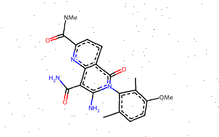 CNC(=O)c1ccc2c(=O)n(-c3c(C)ccc(OC)c3C)c(N)c(C(N)=O)c2n1